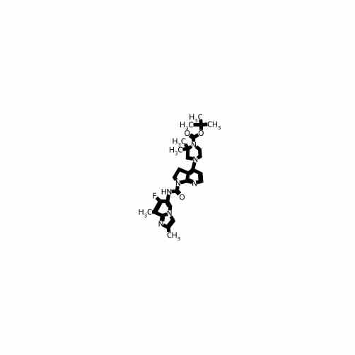 Cc1cn2cc(NC(=O)N3CCc4c(N5CCN(C(=O)OC(C)(C)C)C(C)(C)C5)ccnc43)c(F)c(C)c2n1